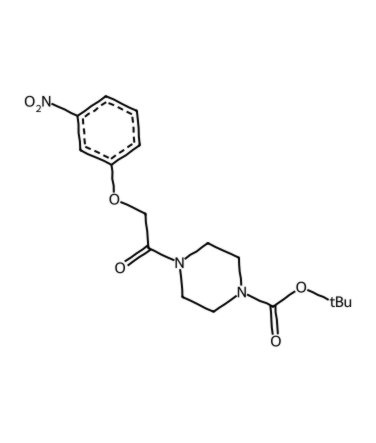 CC(C)(C)OC(=O)N1CCN(C(=O)COc2cccc([N+](=O)[O-])c2)CC1